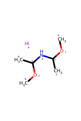 COC(C)NC(C)OC.I